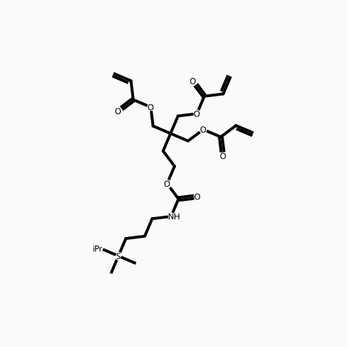 C=CC(=O)OCC(CCOC(=O)NCCCS(C)(C)C(C)C)(COC(=O)C=C)COC(=O)C=C